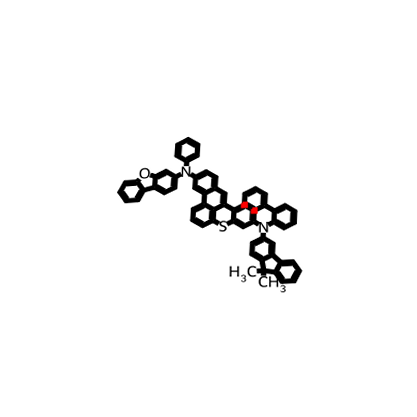 CC1(C)c2ccccc2-c2cc(N(c3ccc4c(c3)Sc3cccc5c3c-4cc3ccc(N(c4ccccc4)c4ccc6c(c4)oc4ccccc46)cc35)c3ccccc3-c3ccccc3)ccc21